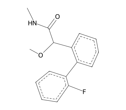 CNC(=O)C(OC)c1ccccc1-c1ccccc1F